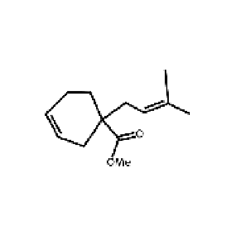 COC(=O)C1(CC=C(C)C)CC=CCC1